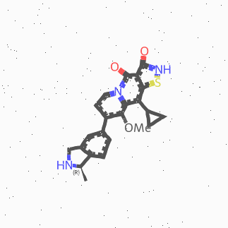 COc1c(-c2ccc3c(c2)CN[C@@H]3C)ccn2c(=O)c3c(=O)[nH]sc3c(C3CC3)c12